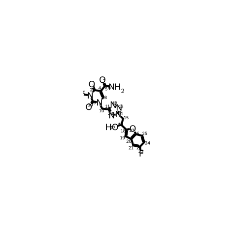 Cn1c(=O)c(C(N)=O)cn(Cc2nnn(C[C@H](O)c3cc4cc(F)ccc4o3)n2)c1=O